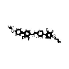 C=CCOc1ccc(C2CCC(/C=C/c3ccc(-c4ccc(OCC)cc4)c(F)c3F)CC2)c(F)c1F